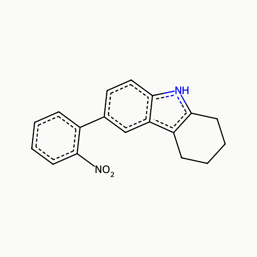 O=[N+]([O-])c1ccccc1-c1ccc2[nH]c3c(c2c1)CCCC3